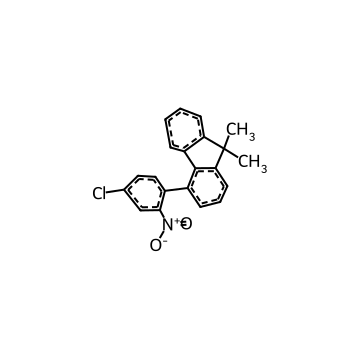 CC1(C)c2ccccc2-c2c(-c3ccc(Cl)cc3[N+](=O)[O-])cccc21